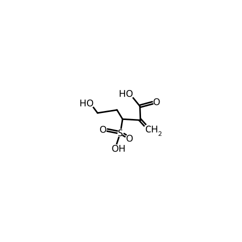 C=C(C(=O)O)C(CCO)S(=O)(=O)O